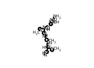 Cc1cccc(-c2nc(CNc3ccc4c(c3)C=NN(C(=O)CN)B4O)[nH]c2-c2ccc3nc(C4CCC(NCc5nc(-c6cccc(C)n6)c(-c6ccc7ncnn7c6)[nH]5)C(C)C4)nn3c2)n1